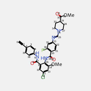 C#Cc1ccc(NC(=O)c2cc(Cl)cc(OC)c2NC(=O)c2ccc(N=CN3CCC(C(=O)OC)CC3)cc2F)cc1